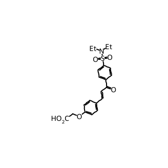 CCN(CC)S(=O)(=O)c1ccc(C(=O)C=Cc2ccc(OCC(=O)O)cc2)cc1